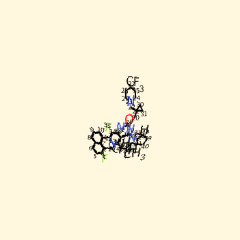 C#Cc1c(F)ccc2cccc(-c3nc4c5c(nc(OCC6(CN7CCC(C(F)(F)F)CC7)CC6)nc5c3F)N3C[C@H]5CC[C@H](C5)[C@@H]3[C@@H](C)C4)c12